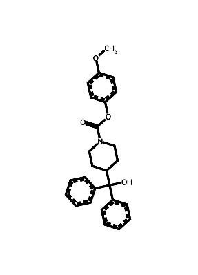 COc1ccc(OC(=O)N2CCC(C(O)(c3ccccc3)c3ccccc3)CC2)cc1